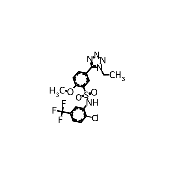 CCn1nnnc1-c1ccc(OC)c(S(=O)(=O)Nc2cc(C(F)(F)F)ccc2Cl)c1